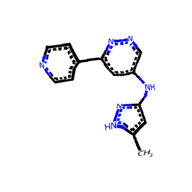 Cc1cc(Nc2cnnc(-c3ccncc3)c2)n[nH]1